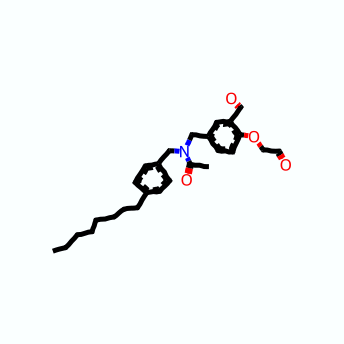 CCCCCCCCc1ccc(CN(Cc2ccc(OCC=O)c(C=O)c2)C(C)=O)cc1